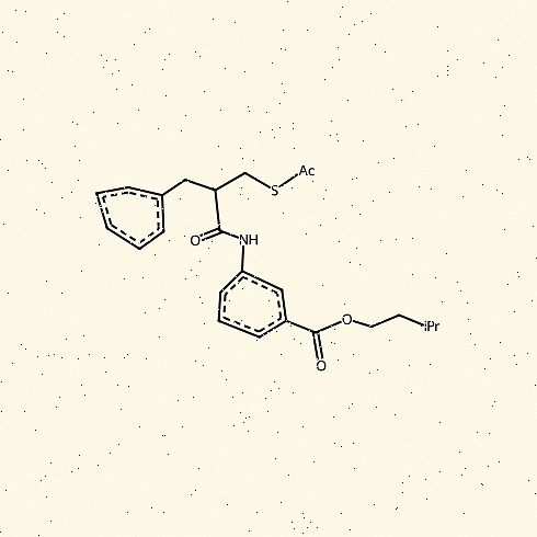 CC(=O)SCC(Cc1ccccc1)C(=O)Nc1cccc(C(=O)OCCC(C)C)c1